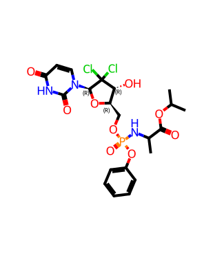 CC(C)OC(=O)C(C)NP(=O)(OC[C@H]1O[C@@H](n2ccc(=O)[nH]c2=O)C(Cl)(Cl)[C@@H]1O)Oc1ccccc1